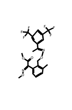 CO/N=C(/C(=O)OC)c1cccc(C)c1CO/N=C(\C)c1cc(C(F)(F)F)cc(C(F)(F)F)c1